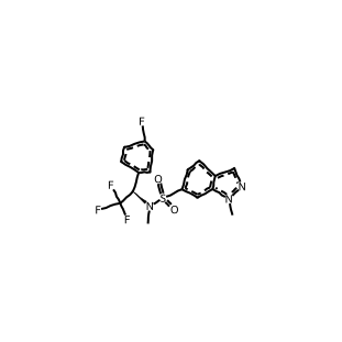 CN([C@H](c1ccc(F)cc1)C(F)(F)F)S(=O)(=O)c1ccc2cnn(C)c2c1